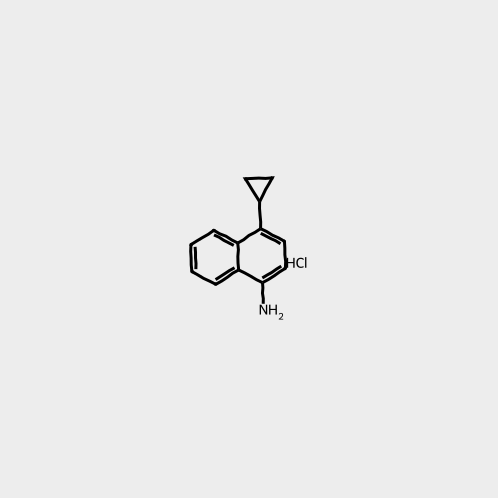 Cl.Nc1ccc(C2CC2)c2ccccc12